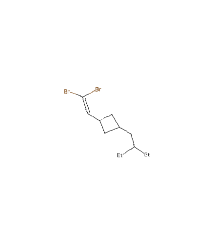 CCC(CC)CC1CC(C=C(Br)Br)C1